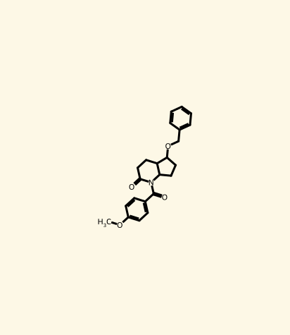 COc1ccc(C(=O)N2C(=O)CCC3C(OCc4ccccc4)CCC32)cc1